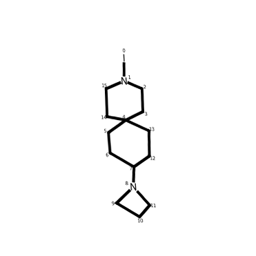 IN1CCC2(CCC(N3CCC3)CC2)CC1